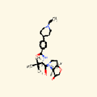 CCN1CCC(c2ccc(C(=O)N[C@H](C(=O)N3CC[C@H]4OCC(=O)[C@H]43)C(C)(C)C)cc2)CC1